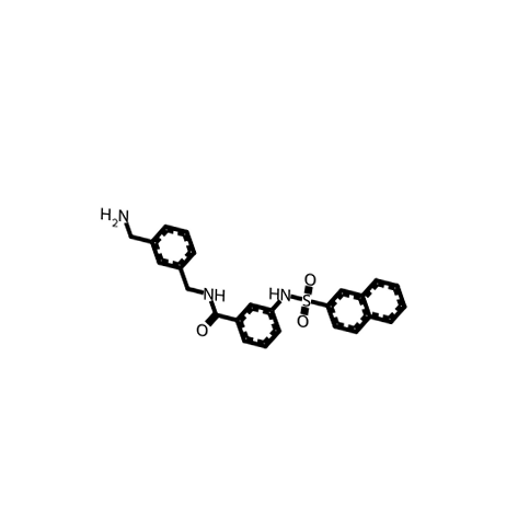 NCc1cccc(CNC(=O)c2cccc(NS(=O)(=O)c3ccc4ccccc4c3)c2)c1